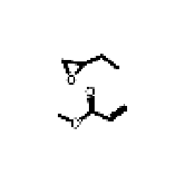 C=CC(=O)OC.CCC1CO1